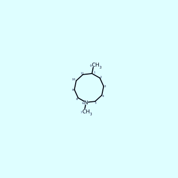 CC1CCCCN(C)CCCC1